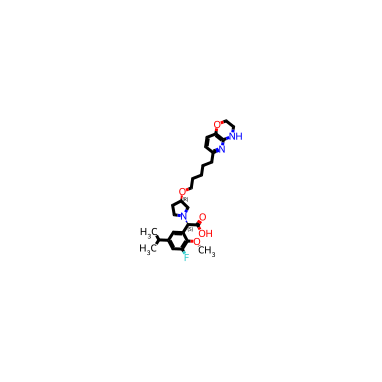 COc1c(F)cc(C(C)C)cc1[C@@H](C(=O)O)N1CC[C@@H](OCCCCCc2ccc3c(n2)NCCO3)C1